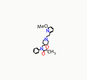 COc1cccc(CCN2CCC3(CC2)CN(c2ccccc2)C(=O)C(C)O3)n1